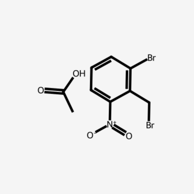 CC(=O)O.O=[N+]([O-])c1cccc(Br)c1CBr